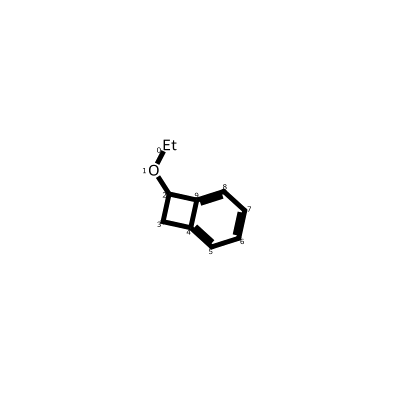 CCOC1Cc2ccccc21